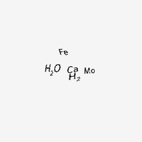 O.[CaH2].[Fe].[Mo]